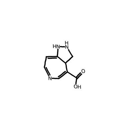 O=C(O)C1=CN=CC=C2NNCC21